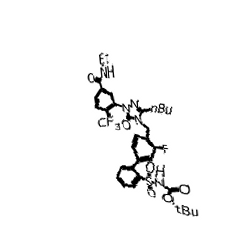 CCCCc1nn(-c2cc(C(=O)NCC)ccc2C(F)(F)F)c(=O)n1Cc1ccc(-c2ccccc2S(=O)(=O)NC(=O)OC(C)(C)C)cc1F